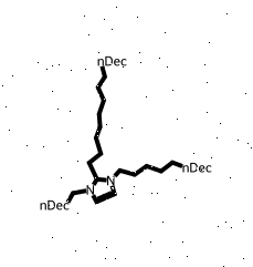 CCCCCCCCCCCCCCCCCCC1N(CCCCCCCCCCC)C=CN1CCCCCCCCCCCCCCC